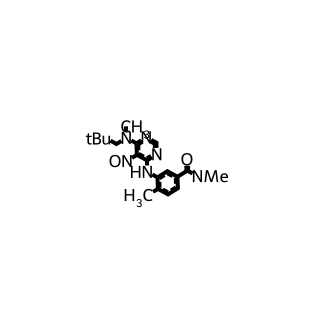 CNC(=O)c1ccc(C)c(Nc2ncnc(N(C)CC(C)(C)C)c2N=O)c1